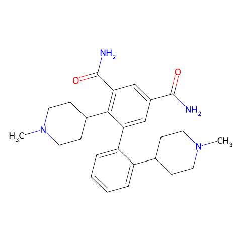 CN1CCC(c2ccccc2-c2cc(C(N)=O)cc(C(N)=O)c2C2CCN(C)CC2)CC1